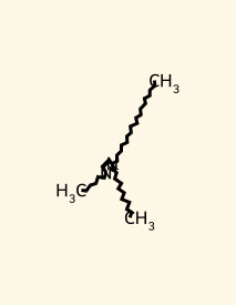 CCCCCCCCCCCCCCCCCCn1cc[n+](CCCCCC)c1CCCCCCCCCC